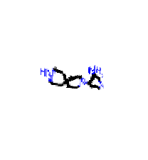 Nc1cnccc1N1CCC2(CCNCC2)CC1